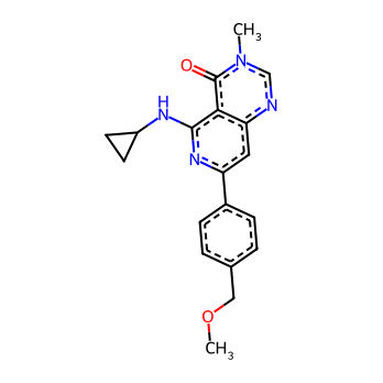 COCc1ccc(-c2cc3ncn(C)c(=O)c3c(NC3CC3)n2)cc1